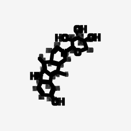 Cc1c2c(c(C)c3c1[nH]c1ccc(O)cc13)CN(C1OC[C@H](O)[C@@H](O)[C@@H]1O)C=C2